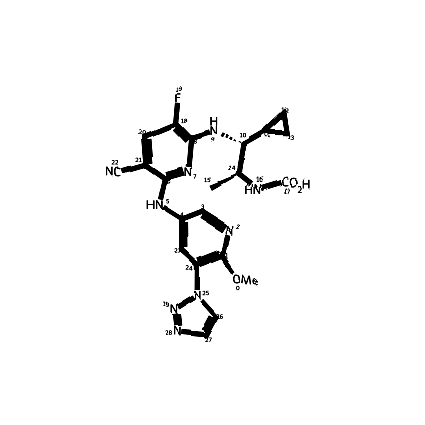 COc1ncc(Nc2nc(N[C@H](C3CC3)[C@H](C)NC(=O)O)c(F)cc2C#N)cc1-n1ccnn1